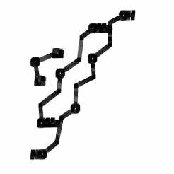 CCOCC.COCCOCCOC.OCCOCCOCCO